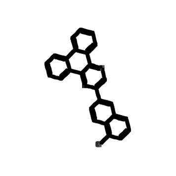 Clc1cccc2cc(-c3cnc4c5ccccc5c5ccccc5c4n3)ccc12